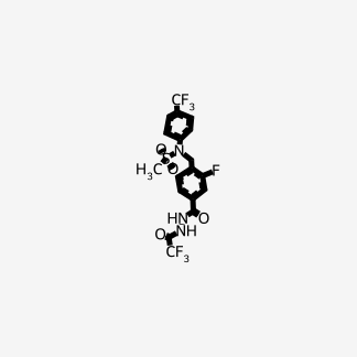 CS(=O)(=O)N(Cc1ccc(C(=O)NNC(=O)C(F)(F)F)cc1F)c1ccc(C(F)(F)F)cc1